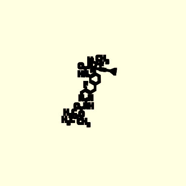 CC(C)(C)OC(=O)Nc1ncc(F)c(Cc2ccc3c(c2)NC(=O)N[C@]3(C#CC2CC2)C(C)(F)F)n1